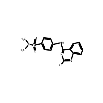 CN(C)S(=O)(=O)c1ccc(Nc2nc(Cl)nc3ccccc23)cc1